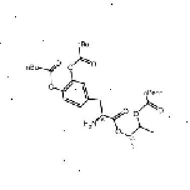 CCCCCC(=O)OC(C)[C@H](C)OC(=O)[C@@H](N)Cc1ccc(OC(=O)CCCC)c(OC(=O)CCCC)c1